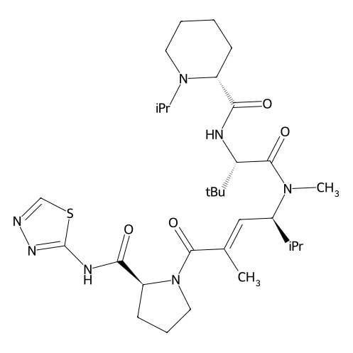 C/C(=C\[C@H](C(C)C)N(C)C(=O)[C@@H](NC(=O)[C@H]1CCCCN1C(C)C)C(C)(C)C)C(=O)N1CCC[C@H]1C(=O)Nc1nncs1